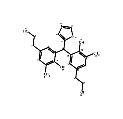 Cc1cc(CCO)cc(C(c2cncs2)c2cc(CCO)cc(C)c2O)c1O